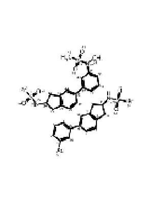 CC(=O)c1cccc(-c2ccc3c(c2)CC(NS(=O)(=O)C(C)C)C3)c1.CC(C)S(=O)(=O)NC1Cc2ccc(-c3cccc(N(C)S(C)(=O)=O)c3)cc2C1